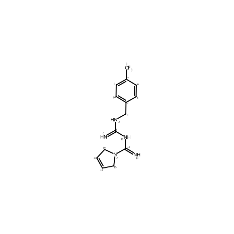 N=C(NCc1ccc(C(F)(F)F)cc1)NC(=N)N1CC=CC1